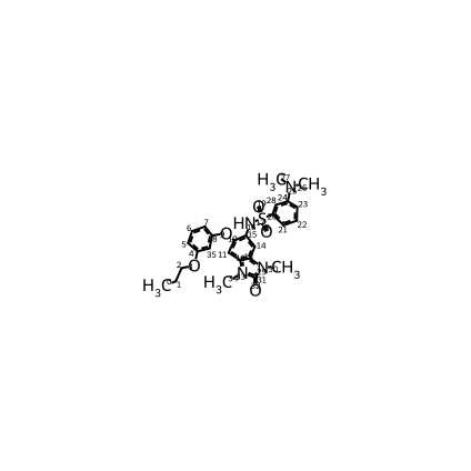 CCCOc1cccc(Oc2cc3c(cc2NS(=O)(=O)c2cccc(N(C)C)c2)n(C)c(=O)n3C)c1